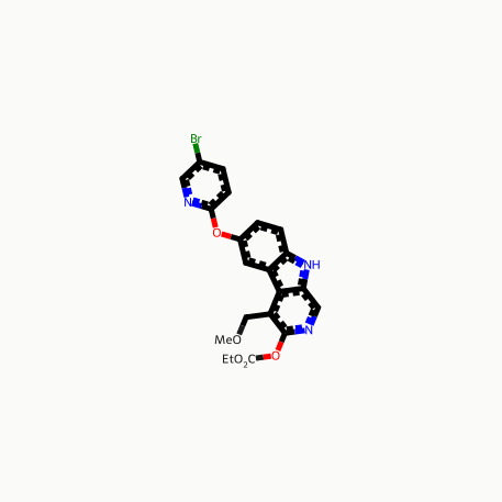 CCOC(=O)Oc1ncc2[nH]c3ccc(Oc4ccc(Br)cn4)cc3c2c1COC